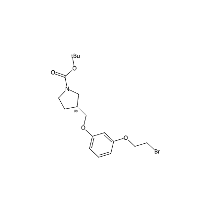 CC(C)(C)OC(=O)N1CC[C@@H](COc2cccc(OCCBr)c2)C1